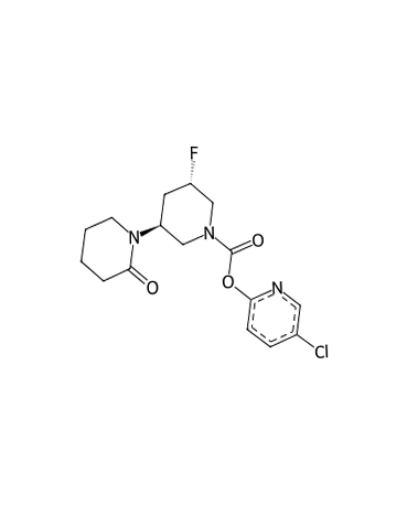 O=C(Oc1ccc(Cl)cn1)N1C[C@@H](F)C[C@H](N2CCCCC2=O)C1